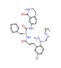 C=N/N=C\N(N)c1ccc(Cl)cc1/C=C/C(=O)N[C@@H](Cc1ccccc1)C(=O)Nc1ccc2c(c1)C(=O)NCC2